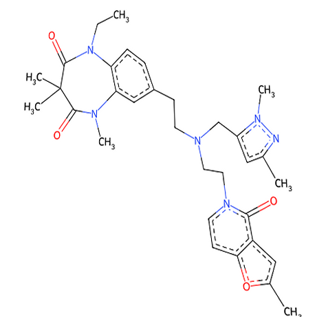 CCN1C(=O)C(C)(C)C(=O)N(C)c2cc(CCN(CCn3ccc4oc(C)cc4c3=O)Cc3cc(C)nn3C)ccc21